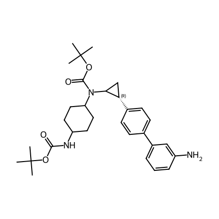 CC(C)(C)OC(=O)NC1CCC(N(C(=O)OC(C)(C)C)C2C[C@@H]2c2ccc(-c3cccc(N)c3)cc2)CC1